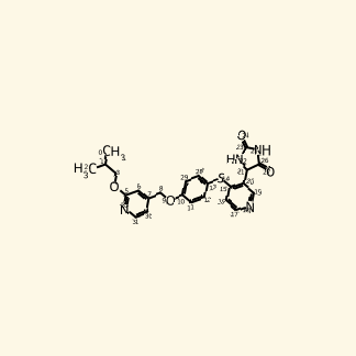 CC(C)COc1cc(COc2ccc(Sc3ccncc3C3NC(=O)NC3=O)cc2)ccn1